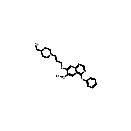 COc1cc2c(Sc3ccccc3)ncnc2cc1OCCCN1CCC(CO)CC1